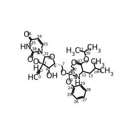 C#C[C@@]1(O)[C@H](O)[C@@H](COP(=S)(NC(CC(C)C)C(=O)OC(C)C)Oc2ccccc2)O[C@H]1n1ccc(=O)[nH]c1=O